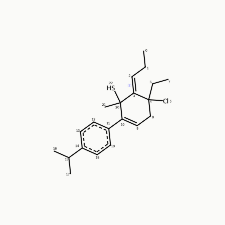 CC/C=C1\C(Cl)(CC)CC=C(c2ccc(C(C)C)cc2)C1(C)S